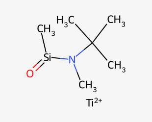 CN([Si](C)=O)C(C)(C)C.[Ti+2]